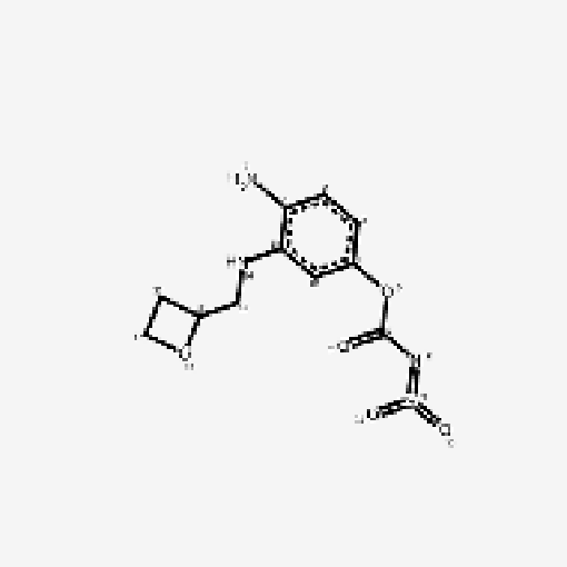 Nc1ccc(OC(=O)N=S(=O)=O)cc1NCC1CCO1